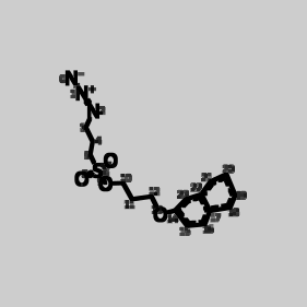 [N-]=[N+]=NCCCS(=O)(=O)OCCCOc1ccc2ccccc2c1